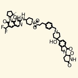 C[C@@]1(O)CCC[C@H]1n1c(=O)c(C(F)F)cc2cnc(NC3CCN(S(=O)(=O)CCc4ccc(CN5CCC(O)(c6ccc7c(c6)CN(C6CCC(=O)NC6=O)C7=O)CC5)cc4)CC3)nc21